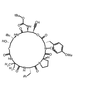 C#C[C@H]1OC(=O)[C@H](Cc2ccc(OC)cc2)N(C)C(=O)[C@@H]2CCCN2C(=O)[C@H](CC(C)C)NC(=O)C(C)(C)NC(=O)C[C@H](O)[C@@H]([C@@H](C)CC)NC(=O)[C@H]1NC(=O)OC(C)(C)C